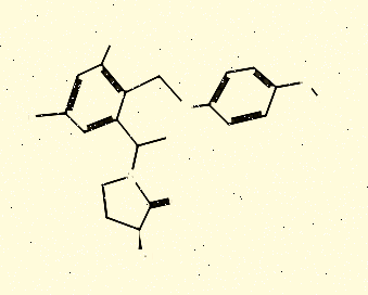 COc1ccc(OCc2c(Cl)cc(F)cc2C(C)N2CC[C@H](O)C2=O)cc1